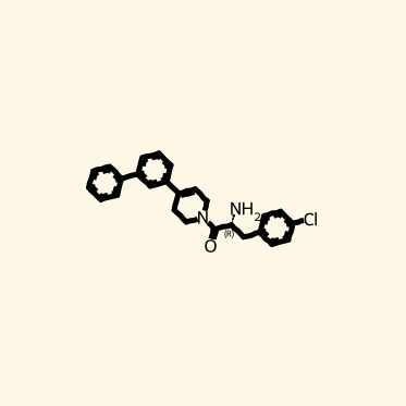 N[C@H](Cc1ccc(Cl)cc1)C(=O)N1CC=C(c2cccc(-c3ccccc3)c2)CC1